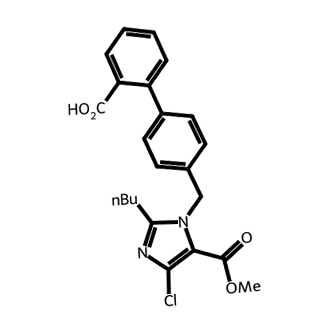 CCCCc1nc(Cl)c(C(=O)OC)n1Cc1ccc(-c2ccccc2C(=O)O)cc1